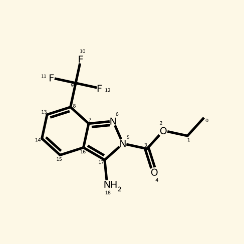 CCOC(=O)n1nc2c(C(F)(F)F)cccc2c1N